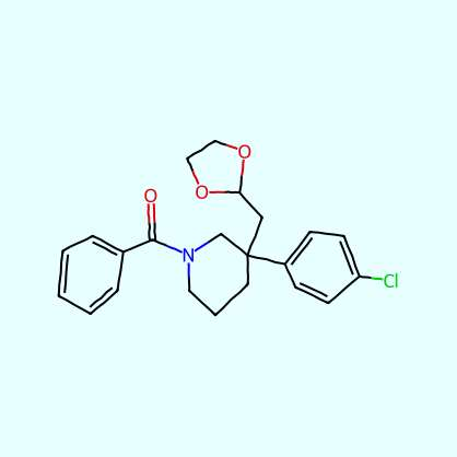 O=C(c1ccccc1)N1CCCC(CC2OCCO2)(c2ccc(Cl)cc2)C1